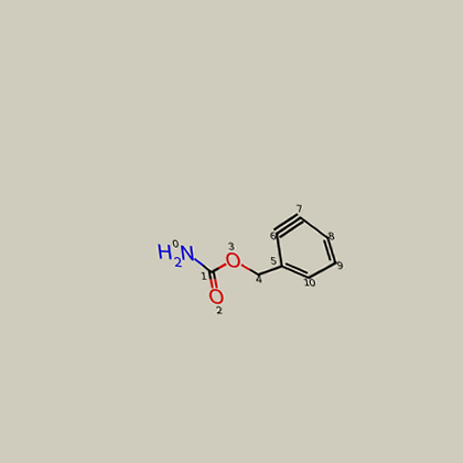 NC(=O)OCc1c#cccc1